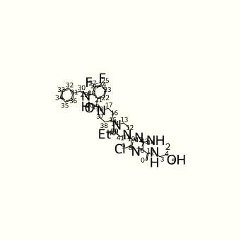 C=C(NCCO)c1nc(Cl)c(N2CCN(C3CCN(C(=O)c4ccc(F)c(F)c4NCc4ccccc4)CC3)[C@@H](CC)C2)nc1N